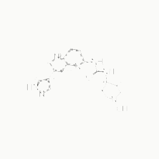 CN1CCC(NC(=O)Nc2ccc3ncc(-c4cn[nH]c4)cc3n2)CC1